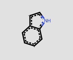 [c]1ccc2[c]c[nH]c2c1